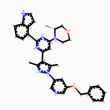 Cc1nn(-c2cncc(OCc3ccccc3)c2)c(C)c1-c1cc(N2CCOC[C@H]2C)nc(-c2cccc3[nH]ccc23)n1